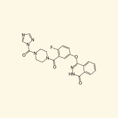 O=C(c1cc(Oc2n[nH]c(=O)c3ccccc23)ccc1F)N1CCN(C(=O)n2cncn2)CC1